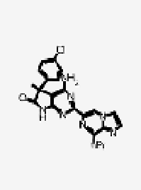 CCCc1nc(-c2nc(N)c3c(n2)NC(=O)C3(C)c2ccc(Cl)cc2)cn2ccnc12